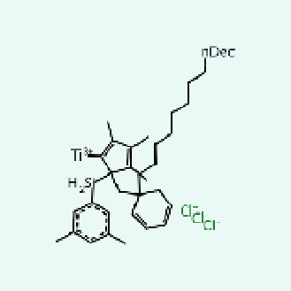 CCCCCCCCCCCCCCCCCCC1(CC2([SiH2]c3cc(C)cc(C)c3)C(C)=C(C)C(C)=[C]2[Ti+3])C=CC=CC1.[Cl-].[Cl-].[Cl-]